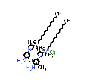 CCCCCCCCCCCCCC[N+](C)(C)C1CCN(c2ccc(N)c(C)c2)C1.CCCCCCCCCCCCCC[N+](C)(C)C1CCN(c2ccc(N)c(C)c2)C1.[Cl-].[Cl-]